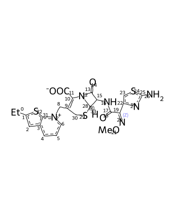 CCc1cc2ccc[n+](CC3=C(C(=O)[O-])N4C(=O)C(NC(=O)/C(=N\OC)c5csc(N)n5)[C@H]4SC3)c2s1